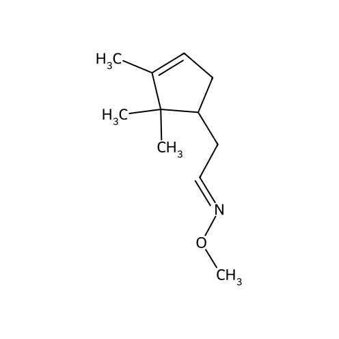 CON=CCC1CC=C(C)C1(C)C